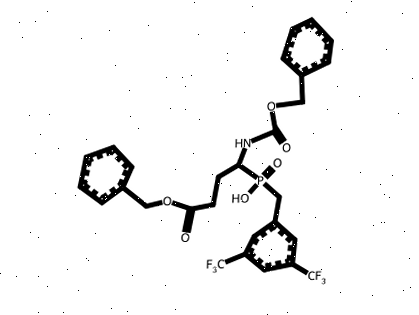 O=C(CCC(NC(=O)OCc1ccccc1)P(=O)(O)Cc1cc(C(F)(F)F)cc(C(F)(F)F)c1)OCc1ccccc1